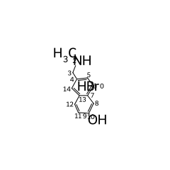 Br.CNCc1ccc2cc(O)ccc2c1